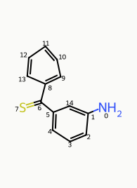 Nc1cccc(C(=S)c2ccccc2)c1